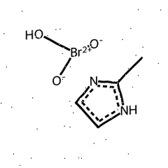 Cc1ncc[nH]1.[O-][Br+2]([O-])O